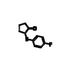 O=C1CCCC1Sc1ccc(F)cc1